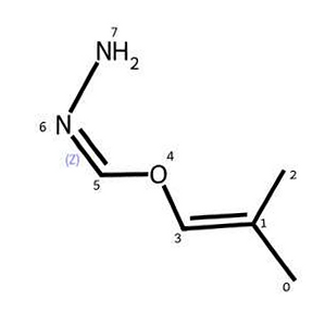 CC(C)=CO/C=N\N